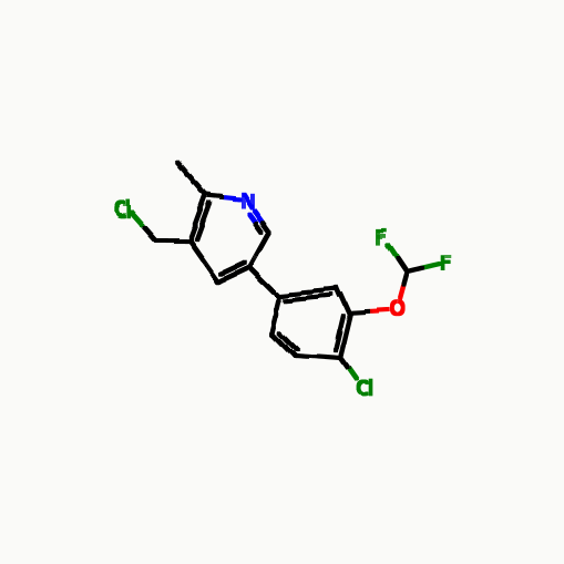 Cc1ncc(-c2ccc(Cl)c(OC(F)F)c2)cc1CCl